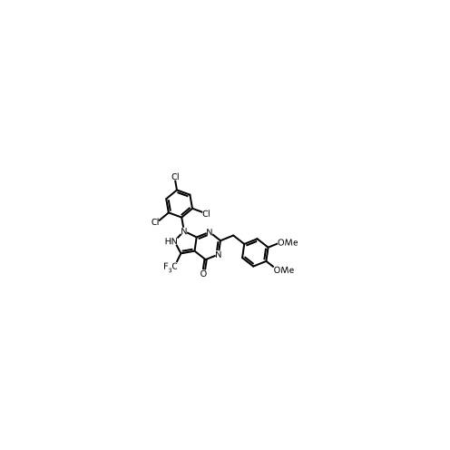 COc1ccc(Cc2nc3n(-c4c(Cl)cc(Cl)cc4Cl)[nH]c(C(F)(F)F)c-3c(=O)n2)cc1OC